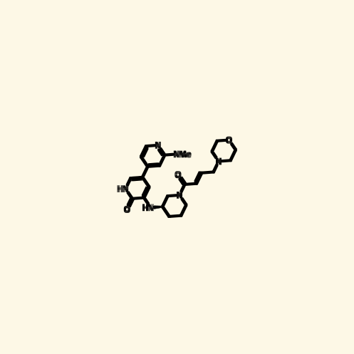 CNc1cc(-c2c[nH]c(=O)c(N[C@@H]3CCCN(C(=O)C=CCN4CCOCC4)C3)c2)ccn1